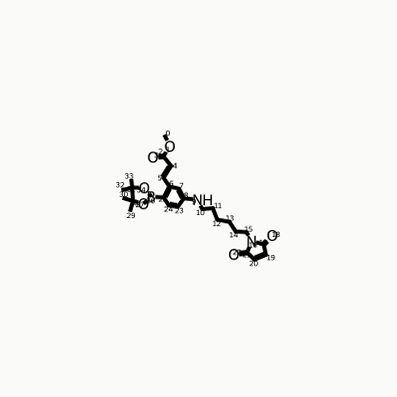 COC(=O)/C=C/c1cc(NCCCCCCN2C(=O)C=CC2=O)ccc1B1OC(C)(C)C(C)(C)O1